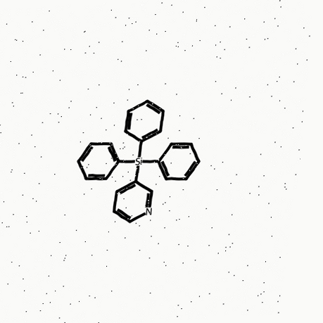 c1ccc([Si](c2ccccc2)(c2ccccc2)c2cccnc2)cc1